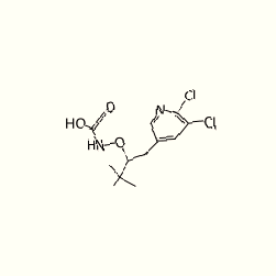 CC(C)(C)C(Cc1cnc(Cl)c(Cl)c1)ONC(=O)O